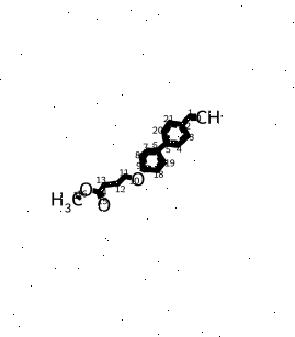 [CH]=Cc1ccc(-c2ccc(OCCCC(=O)OC)cc2)cc1